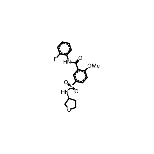 COc1ccc(S(=O)(=O)N[C@H]2CCOC2)cc1C(=O)Nc1ccccc1F